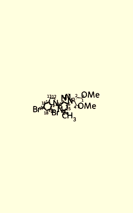 COCC[C@H](COC)n1nnc2c(N3CCc4cc(Br)cc(Br)c43)nc(C)cc21